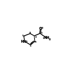 NC(=O)C1C=CN[CH]C1